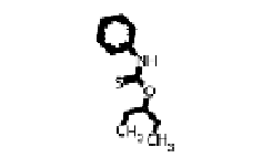 CCC(CC)OC(=S)Nc1ccccc1